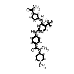 CN1CCC(N(C)C(=O)c2ccc(Nc3ncc(C(F)(F)F)c(N[C@H]4CCC(C(N)=O)C4)n3)cc2)CC1